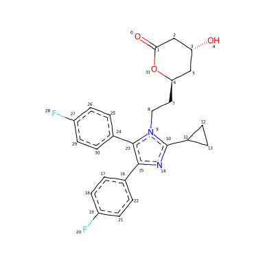 O=C1C[C@H](O)C[C@@H](CCn2c(C3CC3)nc(-c3ccc(F)cc3)c2-c2ccc(F)cc2)O1